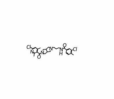 Cc1ccc(C(=O)NCCCN2CC3CN(C(=O)c4c(C)cc(Cl)nc4C)CC3C2)cc1Cl